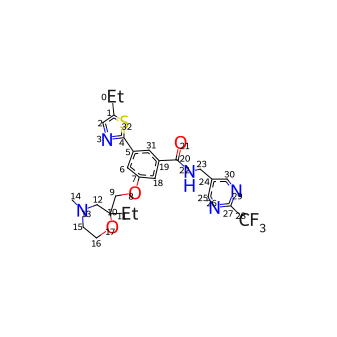 CCc1cnc(-c2cc(OCC3(CC)CN(C)CCO3)cc(C(=O)NCc3cnc(C(F)(F)F)nc3)c2)s1